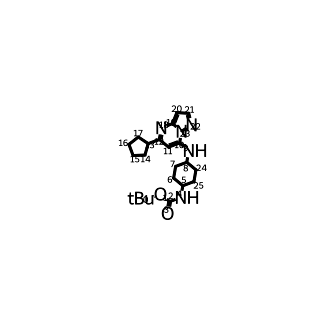 CC(C)(C)OC(=O)NC1CCC(Nc2cc(C3CCCC3)nc3ccnn23)CC1